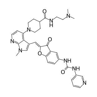 CN(C)CCNC(=O)C1CCN(c2ccnc3c2c(C=C2Oc4ccc(NC(=O)Nc5cccnc5)cc4C2=O)cn3C)CC1